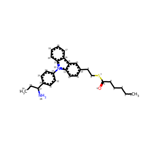 CCCCCC(=O)SCCc1ccc2c(c1)c1ccccc1n2-c1ccc(C(N)CC)cc1